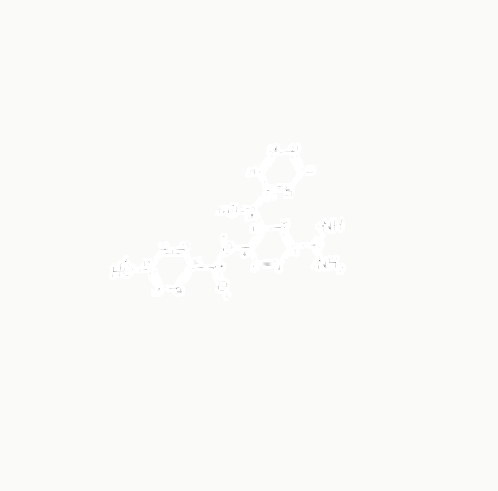 N=C(N)c1ccc(OC(=O)c2ccc(O)cc2)c(C(=O)c2ccccc2)c1